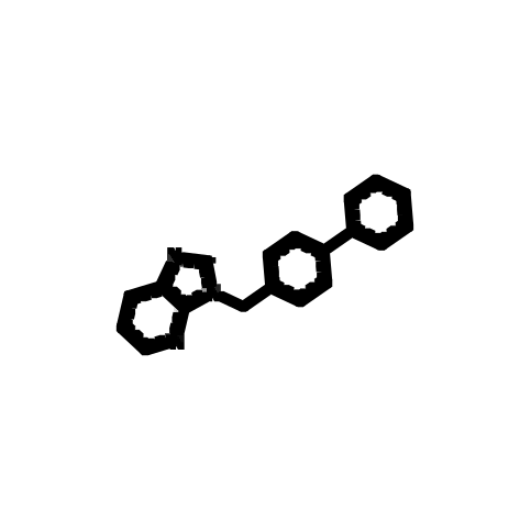 [c]1nc2cccnc2n1Cc1ccc(-c2ccccc2)cc1